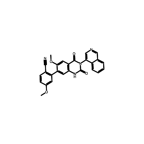 COc1ccc(C#N)c(-c2cc3[nH]c(=O)n(-c4cncc5ccccc45)c(=O)c3cc2OC)c1